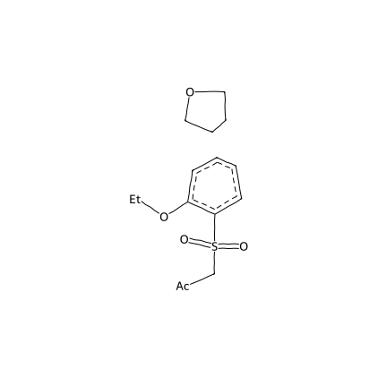 C1CCOC1.CCOc1ccccc1S(=O)(=O)CC(C)=O